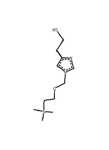 C[Si](C)(C)CCOCn1cnc(CCO)c1